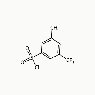 Cc1cc(C(F)(F)F)cc(S(=O)(=O)Cl)c1